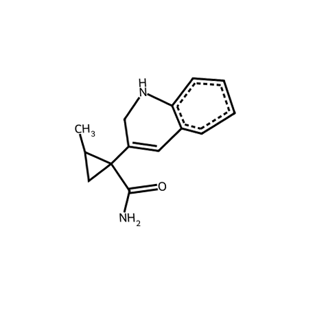 CC1CC1(C(N)=O)C1=Cc2ccccc2NC1